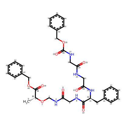 C[C@@H](OCNC(=O)CNC(=O)[C@H](Cc1ccccc1)NC(=O)CNC(=O)CNC(=O)OCc1ccccc1)C(=O)OCc1ccccc1